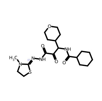 CN1CCS/C1=N\NC(=O)C(=O)C(NC(=O)C1CCCCC1)C1CCOCC1